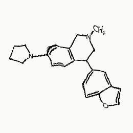 CN1Cc2cc(N3CCCC3)ccc2C(c2ccc3occc3c2)C1